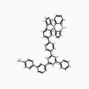 N#Cc1ccc(-c2cccc(-c3nc(-c4ccccc4)nc(-c4ccc(-c5ccc6c(c5)[Si]5(c7ccccc7Sc7ccccc75)c5ccccc5-6)cc4)n3)c2)cc1